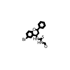 O=CNC(=S)NC1CC(c2ccccc2)Oc2ccc(Br)cc21